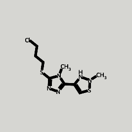 CN1NC(c2nnc(SCCCCl)n2C)=CS1